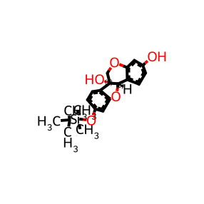 CC(C)(C)[Si](C)(C)Oc1ccc2c(c1)O[C@H]1c3ccc(O)cc3OC[C@@]21O